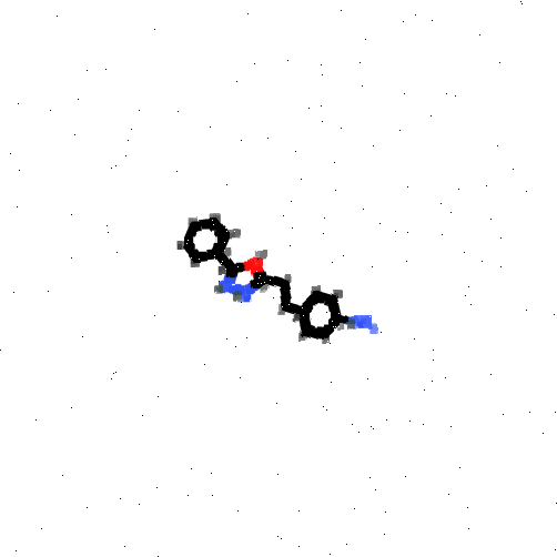 Nc1ccc(C=Cc2nnc(-c3ccccc3)o2)cc1